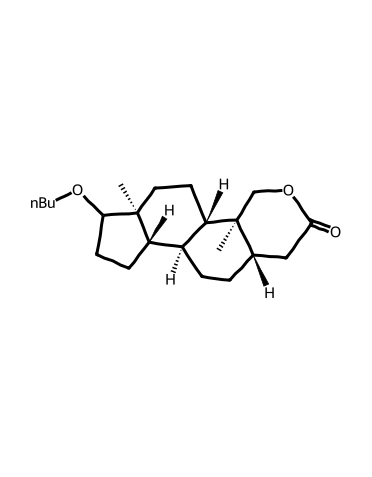 CCCCOC1CC[C@H]2[C@@H]3CC[C@H]4CC(=O)OC[C@]4(C)[C@H]3CC[C@]12C